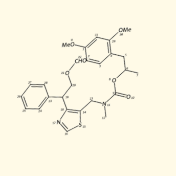 COc1ccc(CC(C)OC(=O)N(C)Cc2scnc2C(COC=O)c2ccccc2)c(OC)c1